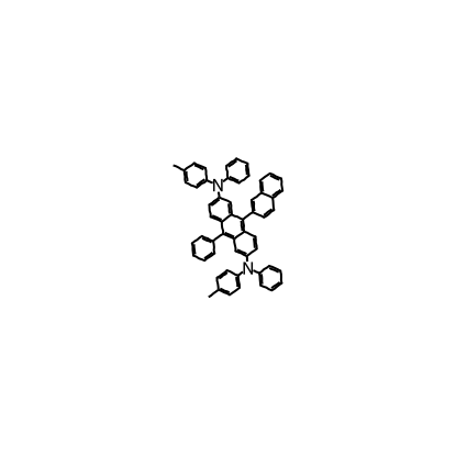 Cc1ccc(N(c2ccccc2)c2ccc3c(-c4ccc5ccccc5c4)c4cc(N(c5ccccc5)c5ccc(C)cc5)ccc4c(-c4ccccc4)c3c2)cc1